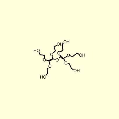 OCCOC(OCCO)=C(OCCO)OC(OCCO)=C(OCCO)OCCO